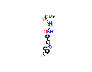 COC(=O)CCn1cc(CCNC(=O)c2ccc(C3CCN(C(=O)c4cccc5c(C(F)(F)F)cccc45)CC3)cc2)nn1